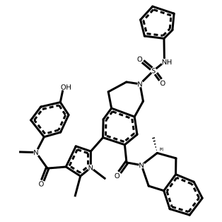 Cc1c(C(=O)N(C)c2ccc(O)cc2)cc(-c2cc3c(cc2C(=O)N2Cc4ccccc4C[C@H]2C)CN(S(=O)(=O)Nc2ccccc2)CC3)n1C